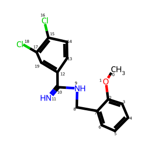 COc1ccccc1CNC(=N)c1ccc(Cl)c(Cl)c1